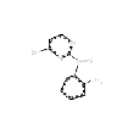 Cc1ccccc1N(S)c1nccc(Br)n1